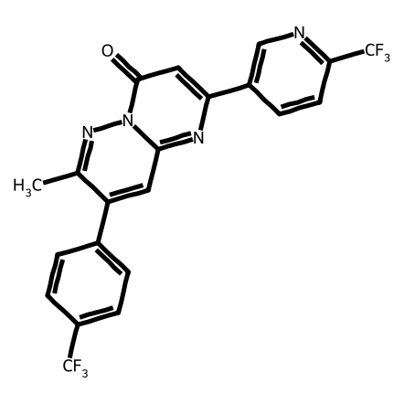 Cc1nn2c(=O)cc(-c3ccc(C(F)(F)F)nc3)nc2cc1-c1ccc(C(F)(F)F)cc1